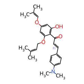 CC(C)=CCOc1cc(OC=C(C)C)cc(O)c1C(=O)/C=C/c1ccc(N(C)C)cc1